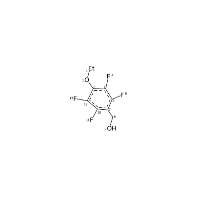 CCOc1c(F)c(F)c(CO)c(F)c1F